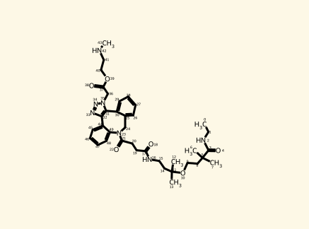 CCNC(=O)C(C)(C)CCOC(C)(C)CCNC(=O)CCC(=O)N1Cc2ccccc2-c2c(nnn2CC(=O)OCCNC)-c2ccccc21